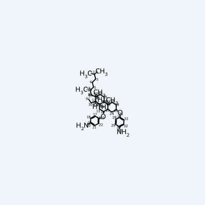 CC(C)CCC[C@@H](C)[C@H]1CC[C@H]2[C@@H]3CC(Oc4ccc(N)cc4)C4CC(Oc5ccc(N)cc5)CC[C@]4(C)[C@H]3CC[C@]12C